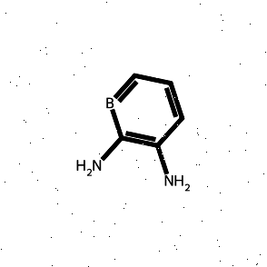 Nc1bcccc1N